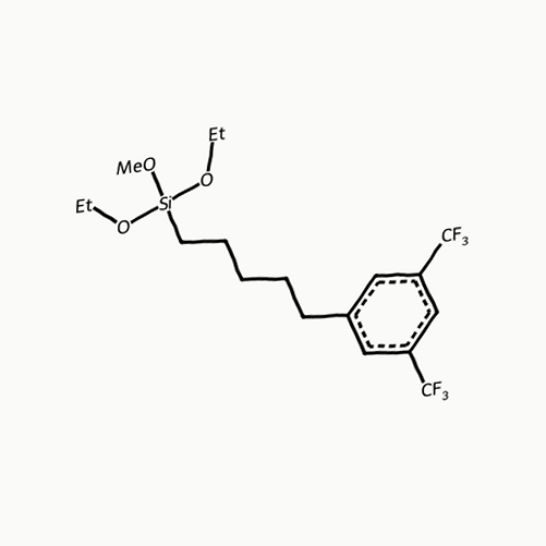 CCO[Si](CCCCCc1cc(C(F)(F)F)cc(C(F)(F)F)c1)(OC)OCC